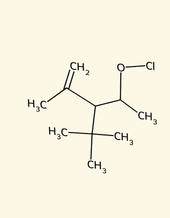 C=C(C)C(C(C)OCl)C(C)(C)C